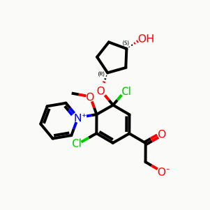 COC1([n+]2ccccc2)C(Cl)=CC(C(=O)C[O-])=CC1(Cl)O[C@@H]1CC[C@H](O)C1